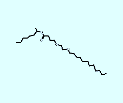 CCCCCCCCCCCCOCCOCCCC(=O)OC(C)CCCCCC